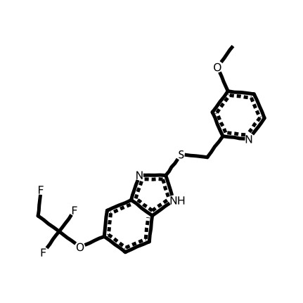 COc1ccnc(CSc2nc3cc(OC(F)(F)CF)ccc3[nH]2)c1